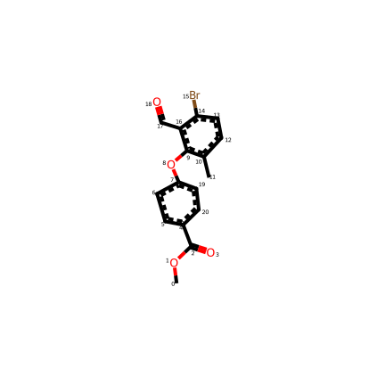 COC(=O)c1ccc(Oc2c(C)ccc(Br)c2C=O)cc1